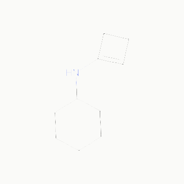 C1=C(NC2CCCCC2)CC1